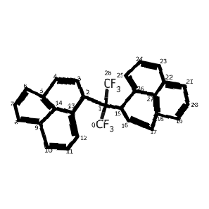 FC(F)(F)C(C1C=Cc2cccc3cccc1c23)(C1C=Cc2cccc3cccc1c23)C(F)(F)F